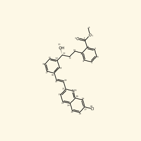 COC(=O)c1ccccc1CC[C@@H](O)c1cccc(/C=C/c2ccc3ccc(Cl)cc3n2)c1